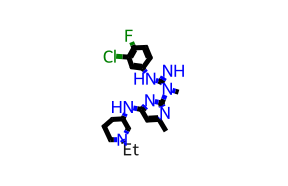 CCN1CCCC(Nc2cc(C)nc(N(C)C(=N)Nc3ccc(F)c(Cl)c3)n2)C1